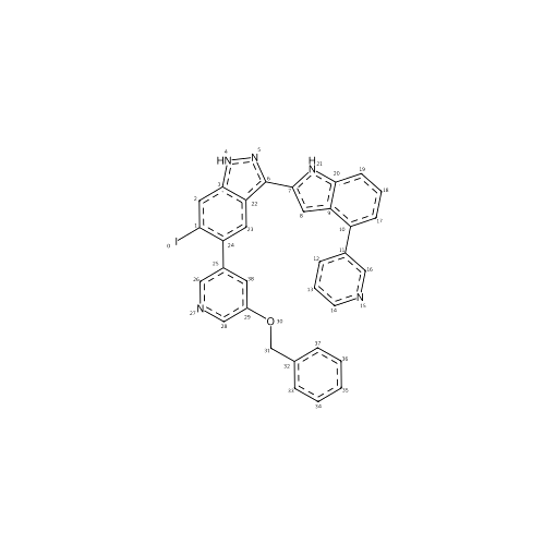 Ic1cc2[nH]nc(-c3cc4c(-c5cccnc5)cccc4[nH]3)c2cc1-c1cncc(OCc2ccccc2)c1